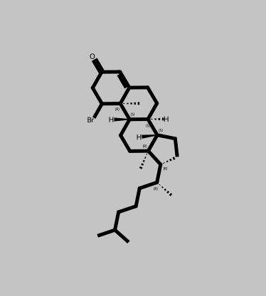 CC(C)CCC[C@@H](C)[C@H]1CC[C@H]2[C@@H]3CCC4=CC(=O)CC(Br)[C@]4(C)[C@H]3CC[C@]12C